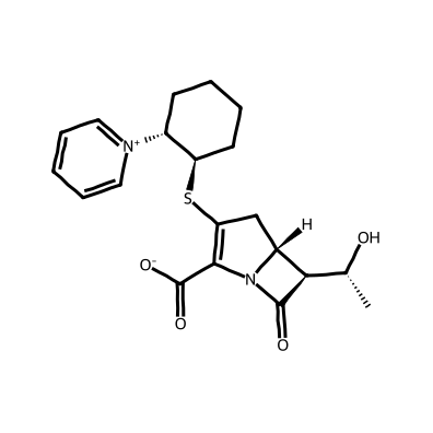 C[C@@H](O)[C@H]1C(=O)N2C(C(=O)[O-])=C(S[C@@H]3CCCC[C@H]3[n+]3ccccc3)C[C@H]12